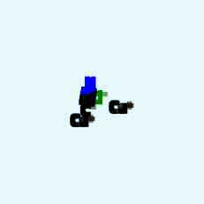 [C-]#N.[Cl-].[Cu+].[Cu+]